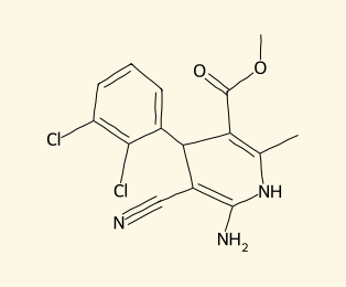 COC(=O)C1=C(C)NC(N)=C(C#N)C1c1cccc(Cl)c1Cl